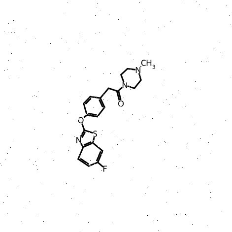 CN1CCN(C(=O)Cc2ccc(Oc3nc4ccc(F)cc4s3)cc2)CC1